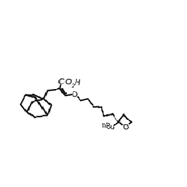 CCCCC1(CCCCCCOC=C(CC23CC4CC(CC(C4)C2)C3)C(=O)O)CCO1